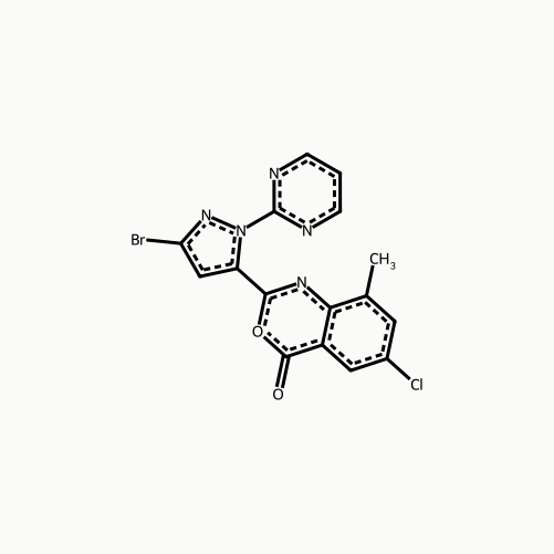 Cc1cc(Cl)cc2c(=O)oc(-c3cc(Br)nn3-c3ncccn3)nc12